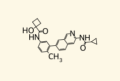 Cc1ccc(NC(=O)C2(O)CCC2)cc1-c1ccc2cc(NC(=O)C3CC3)ncc2c1